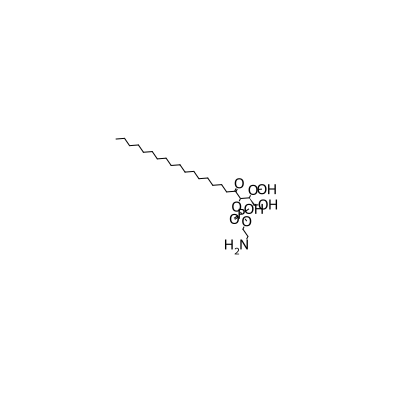 CCCCCCCCCCCCCCCCCC(=O)C(OP(=O)(O)OCCN)[C@H](CO)OO